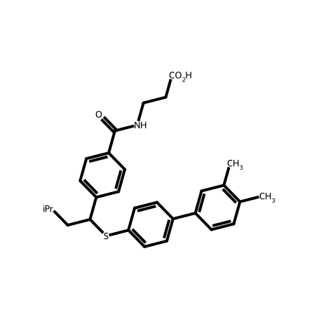 Cc1ccc(-c2ccc(SC(CC(C)C)c3ccc(C(=O)NCCC(=O)O)cc3)cc2)cc1C